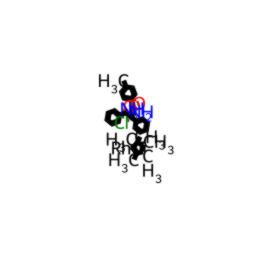 CC1=C(C)C(C)(C)[C]([Rh])=C1C.Cc1ccc(S(=O)(=O)N[C@@](Cl)(c2ccccc2)[C@@H](N)c2ccccc2)cc1